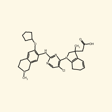 CN1CCc2cc(OC3CCCC3)c(Nc3ncc(Cl)c(N4CC(C)(CC(=O)O)C5=C4CCC=C5)n3)cc2C1